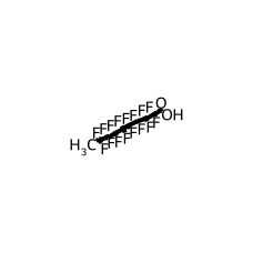 CC(F)(F)C(F)(F)C(F)(F)C(F)(F)C(F)(F)C(F)(F)C(F)(F)C(F)(F)C(=O)O